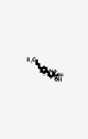 CCCCCc1ccc(-c2ccc(B(O)O)c(F)n2)cc1